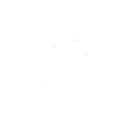 CO[Si](CCCOC(=O)O)(OC)OC